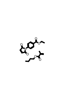 C=C(C)C(=O)OCCCC.CCOC(=O)c1ccc(N2C(=O)C=CC2=O)cc1